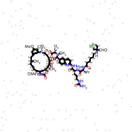 COc1cc2cc(c1Cl)N(C)C(=O)C[C@H](OC(=O)[C@H](C)N(C)C(=O)c1ccc3nc(NC(=O)[C@H](CCCNC(N)=O)NC(=O)[C@@H](NC(=O)CCCCCNC(C=O)(CBr)CBr)C(C)C)ccc3c1)[C@]1(C)O[C@H]1[C@H](C)[C@@H]1C[C@@](O)(NC(=O)O1)[C@H](OC)/C=C/C=C(\C)C2